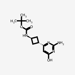 CC(C)(C)OC(=O)N[C@H]1C[C@H](c2cc(O)nc(N)n2)C1